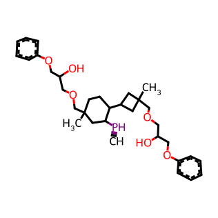 C#[PH]C1CC(C)(COCC(O)COc2ccccc2)CCC1C1CC(C)(COCC(O)COc2ccccc2)C1